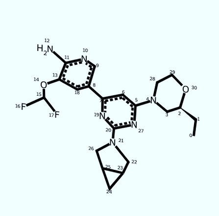 CC[C@H]1CN(c2cc(-c3cnc(N)c(OC(F)F)c3)nc(N3CC4CC4C3)n2)CCO1